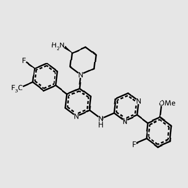 COc1cccc(F)c1-c1nccc(Nc2cc(N3CCC[C@H](N)C3)c(-c3ccc(F)c(C(F)(F)F)c3)cn2)n1